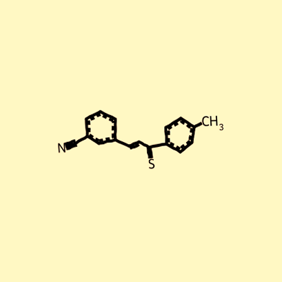 Cc1ccc(C(=S)C=Cc2cccc(C#N)c2)cc1